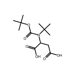 CC(C)(C)OC(=O)N(C(CC(=O)O)C(=O)O)C(C)(C)C